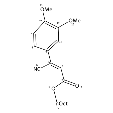 CCCCCCCCOC(=O)C=C(C#N)c1ccc(OC)c(OC)c1